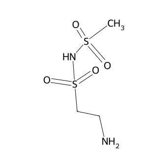 CS(=O)(=O)NS(=O)(=O)CCN